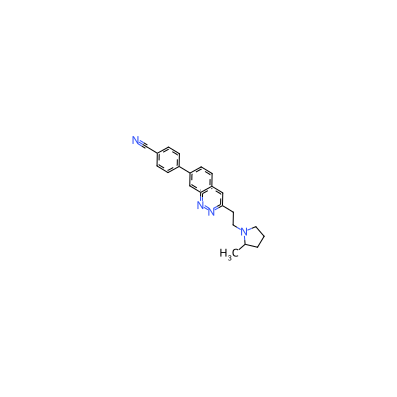 CC1CCCN1CCc1cc2ccc(-c3ccc(C#N)cc3)cc2nn1